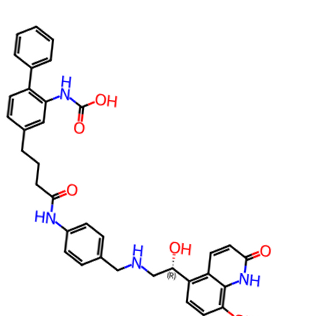 O=C(O)Nc1cc(CCCC(=O)Nc2ccc(CNC[C@H](O)c3ccc(O)c4[nH]c(=O)ccc34)cc2)ccc1-c1ccccc1